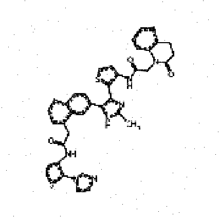 Cc1nc(-c2sccc2NC(=O)CN2C(=O)CCc3ccccc32)c(-c2ccc3cccc(CC(=O)Nc4ccsc4-n4ccnc4)c3c2)[nH]1